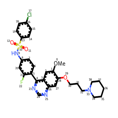 COc1cc2c(-c3ccc(NS(=O)(=O)c4ccc(Cl)cc4)cc3F)ncnc2cc1OCCCN1CCCCC1